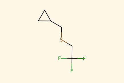 FC(F)(F)CSC[C]1CC1